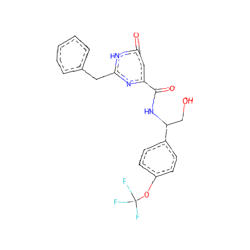 O=C(NC(CO)c1ccc(OC(F)(F)F)cc1)c1cc(=O)[nH]c(Cc2ccccc2)n1